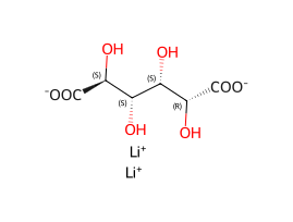 O=C([O-])[C@@H](O)[C@@H](O)[C@H](O)[C@@H](O)C(=O)[O-].[Li+].[Li+]